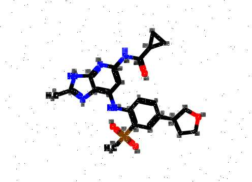 Cc1nc2c(Nc3ccc([C@@H]4CCOC4)cc3S(C)(=O)=O)cc(NC(=O)C3CC3)nc2[nH]1